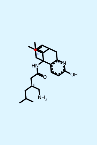 C/C=C1\C2C=C(C)CC1(NC(=O)C[C@@H](CN)CC(C)C)c1ccc(O)nc1C2